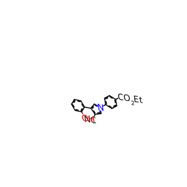 CCOC(=O)c1ccc(-n2cc(C#N)c(-c3ccccc3O)c2)cc1